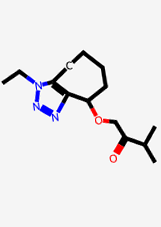 CCn1nnc2c1CCCCC2OCC(=O)C(C)C